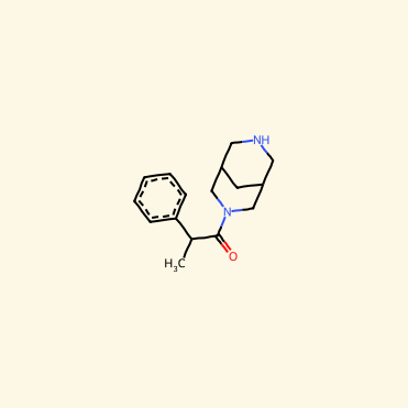 CC(C(=O)N1CC2CNCC(C2)C1)c1ccccc1